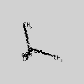 CCCCCCCCCCCCOCc1cc(COCCCCCCCCCCCC)cc(C(=O)OC2CCOC2=O)c1